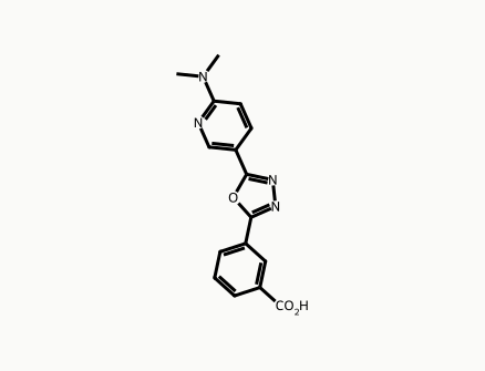 CN(C)c1ccc(-c2nnc(-c3cccc(C(=O)O)c3)o2)cn1